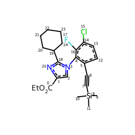 CCOC(=O)c1cn(-c2c(C#C[Si](C)(C)C)ccc(Cl)c2F)c(C2CCCCC2)n1